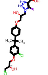 CC(C)(c1ccc(OC[C@@H](O)CCl)c(Cl)c1)C1C=CC(OC[C@@H](O)CN2NNC(CO)=C2I)=CC1